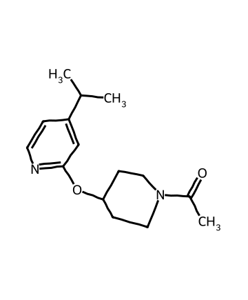 CC(=O)N1CCC(Oc2cc(C(C)C)ccn2)CC1